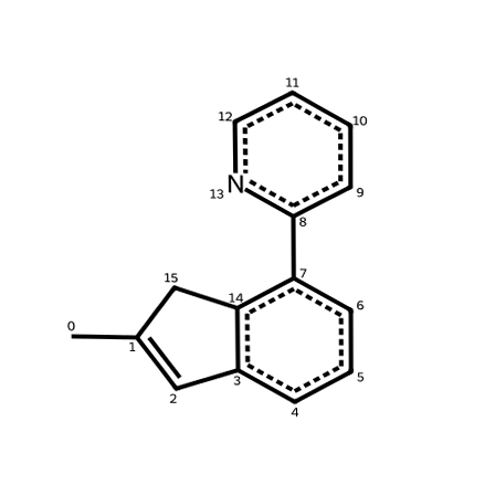 CC1=Cc2cccc(-c3ccccn3)c2C1